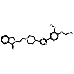 CCOc1cnc(-c2noc(C3CCN(CCN4Cc5ccccc5C4=O)CC3)n2)cc1OC